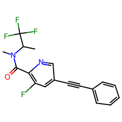 CC(N(C)C(=O)c1ncc(C#Cc2ccccc2)cc1F)C(F)(F)F